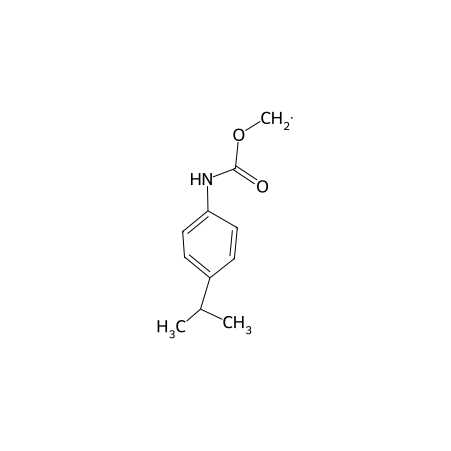 [CH2]OC(=O)Nc1ccc(C(C)C)cc1